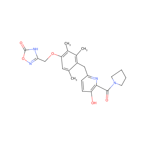 Cc1cc(OCc2noc(=O)[nH]2)c(C)c(C)c1Cc1ccc(O)c(C(=O)N2CCCC2)n1